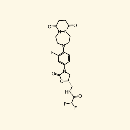 O=C(NC[C@H]1CN(c2ccc(N3CCN4C(=O)CCC(=O)N4CC3)c(F)c2)C(=O)O1)C(F)F